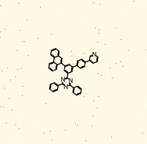 c1ccc(-c2nc(-c3ccccc3)nc(-c3cc(-c4ccc(-c5cccnc5)cc4)cc(-c4cc5ccccc5c5ccccc45)c3)n2)cc1